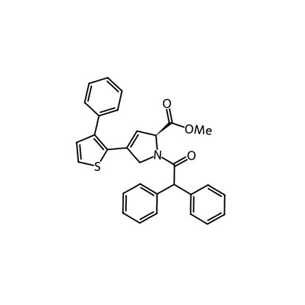 COC(=O)[C@@H]1C=C(c2sccc2-c2ccccc2)CN1C(=O)C(c1ccccc1)c1ccccc1